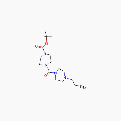 C#CCCN1CCN(C(=O)N2CCN(C(=O)OC(C)(C)C)CC2)CC1